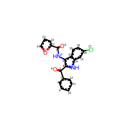 O=C(Nc1c(C(=O)c2ccccc2)[nH]c2cc(Cl)ccc12)c1ccco1